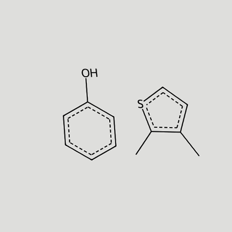 Cc1ccsc1C.Oc1ccccc1